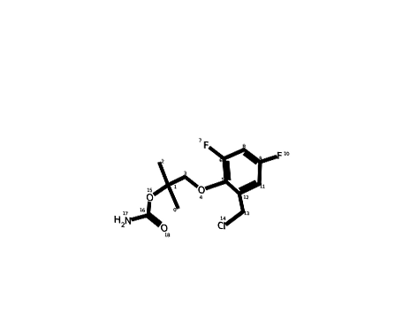 CC(C)(COc1c(F)cc(F)cc1CCl)OC(N)=O